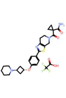 NC(=O)C1(C(=O)N2CCc3nc(-c4ccc(O[C@H]5C[C@H](N6CCCCC6)C5)cc4)sc3C2)CC1.O=C(O)C(F)(F)F